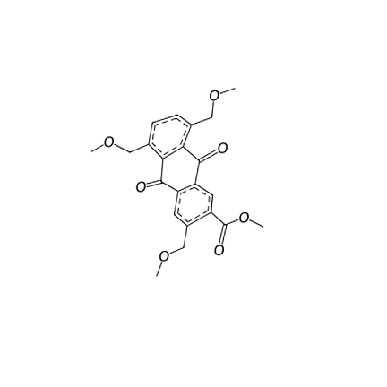 COCc1cc2c(cc1C(=O)OC)C(=O)c1c(COC)ccc(COC)c1C2=O